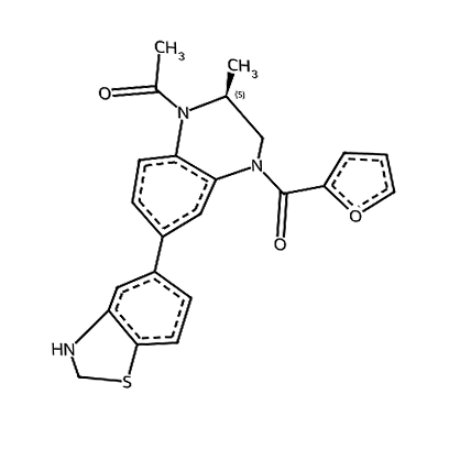 CC(=O)N1c2ccc(-c3ccc4c(c3)NCS4)cc2N(C(=O)c2ccco2)C[C@@H]1C